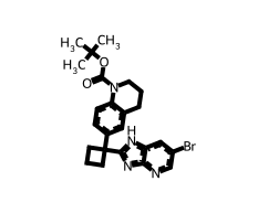 CC(C)(C)OC(=O)N1CCCc2cc(C3(c4nc5ncc(Br)cc5[nH]4)CCC3)ccc21